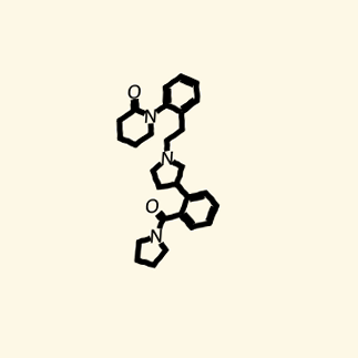 O=C(c1ccccc1C1CCN(CCc2ccccc2N2CCCCC2=O)C1)N1CCCC1